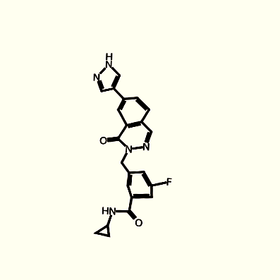 O=C(NC1CC1)c1cc(F)cc(Cn2ncc3ccc(-c4cn[nH]c4)cc3c2=O)c1